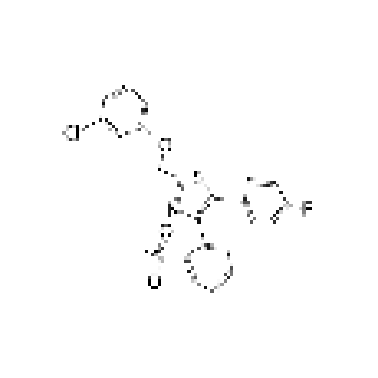 CS(=O)(=O)c1ccccc1-c1nc(COc2cccc(Cl)c2)sc1-c1ccc(F)cc1